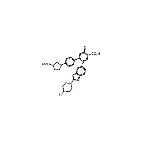 CCN1CCN(c2nc3ccc(-n4cc(C(=O)O)c(=O)cc4-c4ccc(N5CCC(OC)C5)cc4)cc3s2)CC1